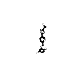 CC(F)c1nnc(-c2ccc(COc3cc(F)ccc3Cl)nc2)o1